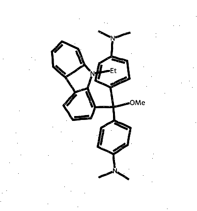 CCn1c2ccccc2c2cccc(C(OC)(c3ccc(N(C)C)cc3)c3ccc(N(C)C)cc3)c21